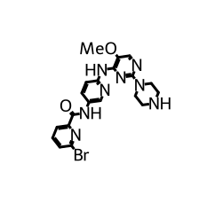 COc1cnc(N2CCNCC2)nc1Nc1ccc(NC(=O)c2cccc(Br)n2)cn1